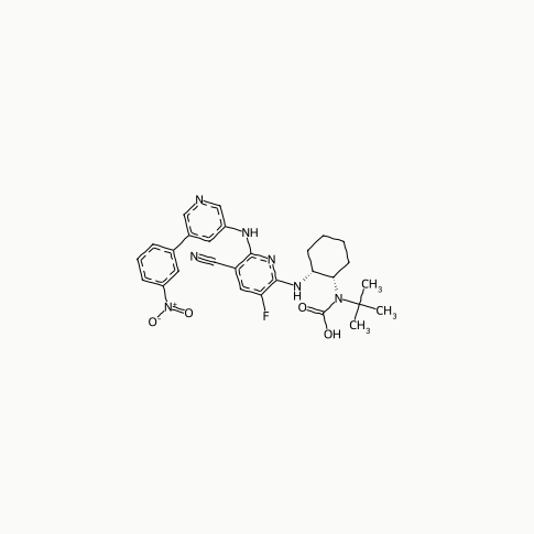 CC(C)(C)N(C(=O)O)[C@H]1CCCC[C@H]1Nc1nc(Nc2cncc(-c3cccc([N+](=O)[O-])c3)c2)c(C#N)cc1F